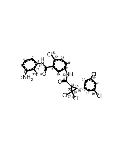 Nc1cccc(NC(=O)c2cc(NC(=O)[C@H]3[C@H](c4cc(Cl)cc(Cl)c4)C3(Cl)Cl)ccc2Cl)c1F